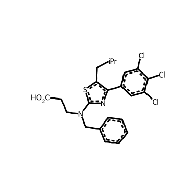 CC(C)Cc1sc(N(CCC(=O)O)Cc2ccccc2)nc1-c1cc(Cl)c(Cl)c(Cl)c1